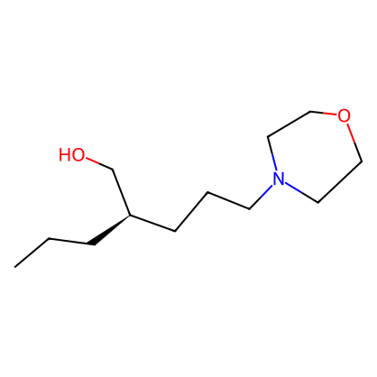 CCC[C@@H](CO)CCCN1CCOCC1